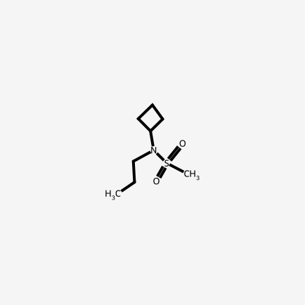 CCCN(C1CCC1)S(C)(=O)=O